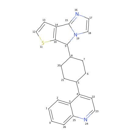 c1ccc2c(C3CCC(C4c5sccc5-c5nccn54)CC3)ccnc2c1